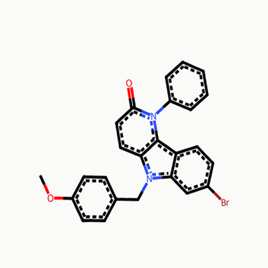 COc1ccc(Cn2c3cc(Br)ccc3c3c2ccc(=O)n3-c2ccccc2)cc1